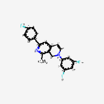 Cc1nc(-c2ccc(F)cc2)cc2c1CN(c1cc(F)cc(F)c1)C=C2